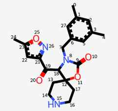 Cc1cc(C)cc(CN2C(=O)OC3(CCNCC3)C2C(=O)c2cc(C)on2)c1